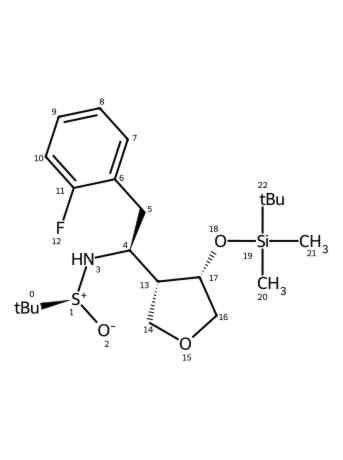 CC(C)(C)[S@+]([O-])N[C@@H](Cc1ccccc1F)[C@H]1COC[C@H]1O[Si](C)(C)C(C)(C)C